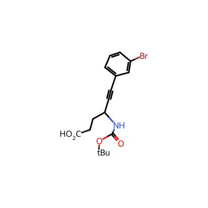 CC(C)(C)OC(=O)NC(C#Cc1cccc(Br)c1)CCC(=O)O